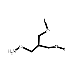 NOCC(COI)COI